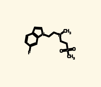 CN(CCn1ccc2ccc(F)cc21)CCS(C)(=O)=O